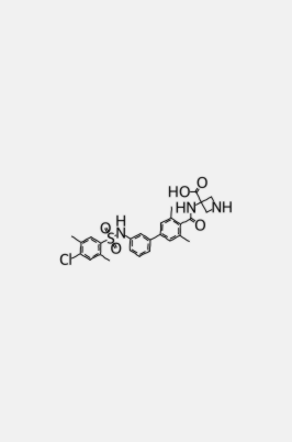 Cc1cc(S(=O)(=O)Nc2cccc(-c3cc(C)c(C(=O)NC4(C(=O)O)CNC4)c(C)c3)c2)c(C)cc1Cl